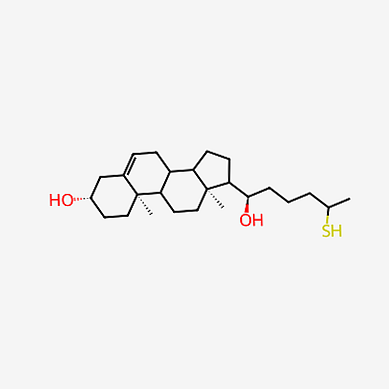 CC(S)CCC[C@@H](O)C1CCC2C3CC=C4C[C@@H](O)CC[C@]4(C)C3CC[C@@]21C